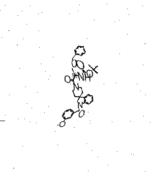 COc1cccc(C(=O)N2CC3(CCN(C(=O)[C@@H](COCc4ccccc4)NC(=O)OC(C)(C)C)CC3)c3ccccc32)c1